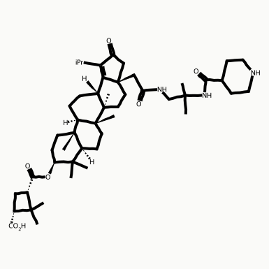 CC(C)C1=C2[C@H]3CC[C@@H]4[C@@]5(C)CC[C@H](OC(=O)[C@H]6C[C@@H](C(=O)O)C6(C)C)C(C)(C)[C@@H]5CC[C@@]4(C)[C@]3(C)CC[C@@]2(CC(=O)NCC(C)(C)NC(=O)C2CCNCC2)CC1=O